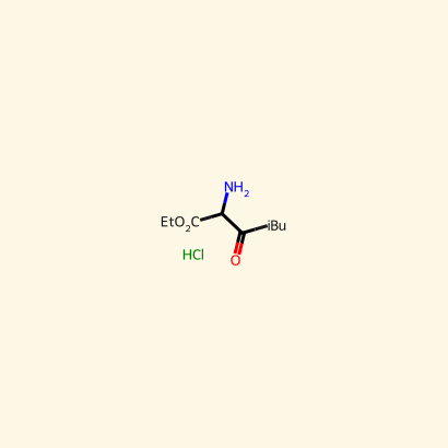 CCOC(=O)C(N)C(=O)C(C)CC.Cl